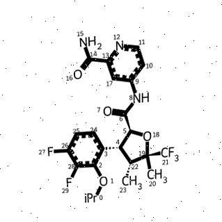 CC(C)Oc1c([C@@H]2[C@@H](C(=O)Nc3ccnc(C(N)=O)c3)O[C@@](C)(C(F)(F)F)[C@@H]2C)ccc(F)c1F